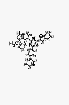 CC1(C)c2ccccc2-c2c(-c3nc(-c4ccc(-c5cccnc5)cc4)nc(-c4cc5ccccc5o4)n3)cccc21